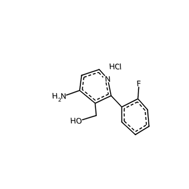 Cl.Nc1ccnc(-c2ccccc2F)c1CO